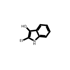 CCc1[nH]c2ccccc2c1O